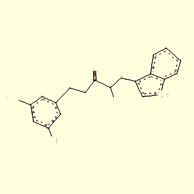 O=C(CCc1cc(C(F)(F)F)cc(C(F)(F)F)c1)C(O)Cc1c[nH]c2ccccc12